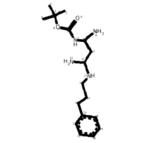 CC(C)(C)OC(=O)NC(N)CC(N)NCCCc1ccccc1